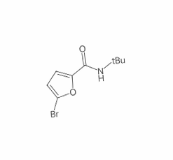 CC(C)(C)NC(=O)c1ccc(Br)o1